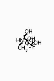 CCCNC(CCO)C(=O)O.O=C(O)C(F)(F)F